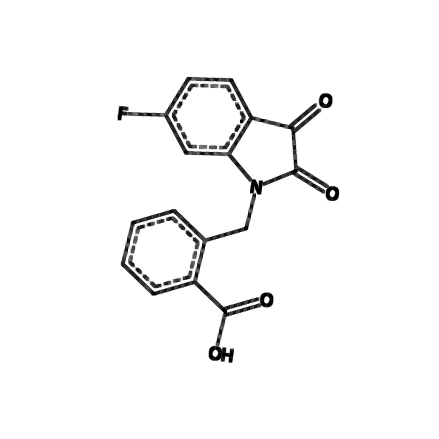 O=C(O)c1ccccc1CN1C(=O)C(=O)c2ccc(F)cc21